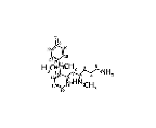 CNC(CCCN)Cc1ncccc1C(C)(C)c1ccc(F)cc1